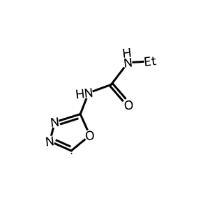 CCNC(=O)Nc1nn[c]o1